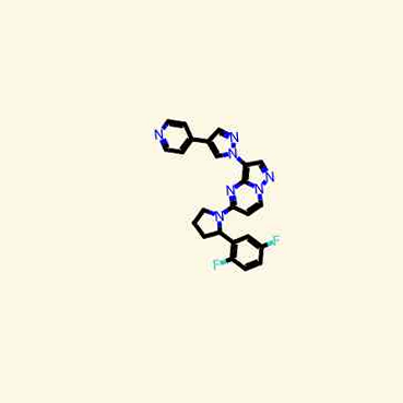 Fc1ccc(F)c(C2CCCN2c2ccn3ncc(-n4cc(-c5ccncc5)cn4)c3n2)c1